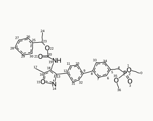 COP(=O)(Cc1ccc(-c2ccc(-c3noc(C)c3NC(=O)OC(C)c3ccccc3)cc2)cc1)OC